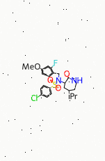 COc1ccc(CN(C2CC(C(C)C)CCNC2=O)S(=O)(=O)c2ccc(Cl)cc2)c(F)c1